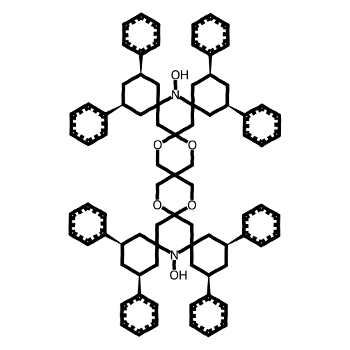 ON1C2(C[C@H](c3ccccc3)C[C@H](c3ccccc3)C2)CC2(CC13C[C@H](c1ccccc1)C[C@H](c1ccccc1)C3)OCC1(CO2)COC2(CC3(C[C@H](c4ccccc4)C[C@H](c4ccccc4)C3)N(O)C3(C[C@H](c4ccccc4)C[C@H](c4ccccc4)C3)C2)OC1